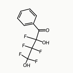 O=C(c1ccccc1)C(O)(F)C(F)(F)C(O)(F)F